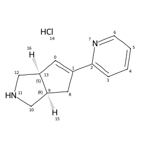 C1=C(c2ccccn2)C[C@H]2CNC[C@@H]12.Cl